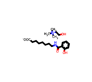 C[N+](C)(C)CCO.O=C([O-])CCCCCCCNC(=O)c1ccccc1O